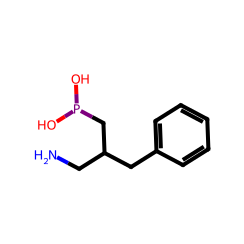 NCC(Cc1ccccc1)CP(O)O